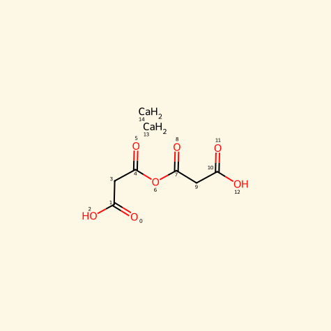 O=C(O)CC(=O)OC(=O)CC(=O)O.[CaH2].[CaH2]